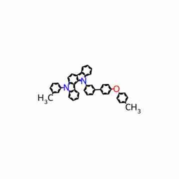 Cc1ccc(Oc2ccc(-c3cccc(-n4c5ccccc5c5ccc6c(c7ccccc7n6-c6cccc(C)c6)c54)c3)cc2)cc1